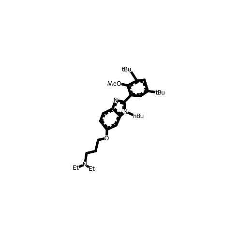 CCCCn1c(-c2cc(C(C)(C)C)cc(C(C)(C)C)c2OC)nc2ccc(OCCCN(CC)CC)cc21